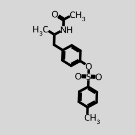 CC(=O)NC(C)Cc1ccc(OS(=O)(=O)c2ccc(C)cc2)cc1